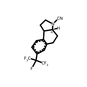 N#CN1CCC2c3ccc(C(F)(C(F)(F)F)C(F)(F)F)cc3CC[C@H]21